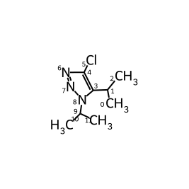 CC(C)c1c(Cl)nnn1C(C)C